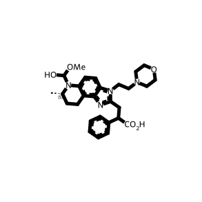 COC(O)N1c2ccc3c(nc(CC(C(=O)O)c4ccccc4)n3CCN3CCOCC3)c2CC[C@@H]1C